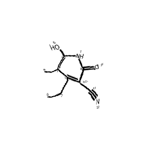 CCc1c(C)c(O)[nH]c(=O)c1C#N